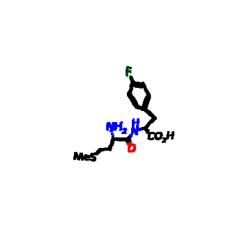 CSCC[C@H](N)C(=O)NC(Cc1ccc(F)cc1)C(=O)O